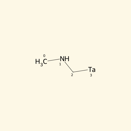 CN[CH2][Ta]